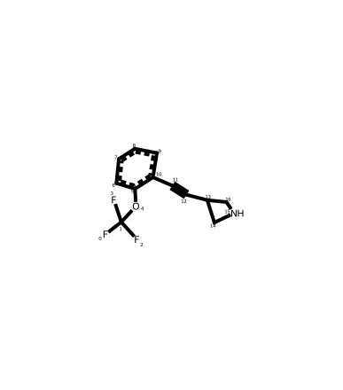 FC(F)(F)Oc1ccccc1C#CC1CNC1